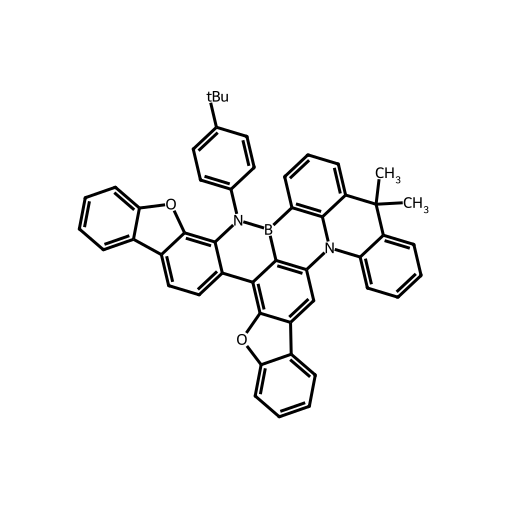 CC(C)(C)c1ccc(N2B3c4cccc5c4N(c4ccccc4C5(C)C)c4cc5c(oc6ccccc65)c(c43)-c3ccc4c(oc5ccccc54)c32)cc1